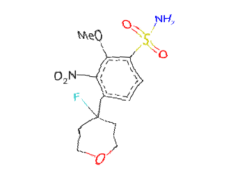 COc1c(S(N)(=O)=O)ccc(C2(F)CCOCC2)c1[N+](=O)[O-]